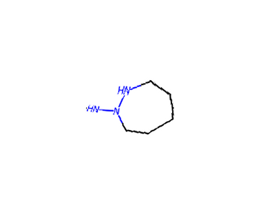 [NH]N1CCCCCN1